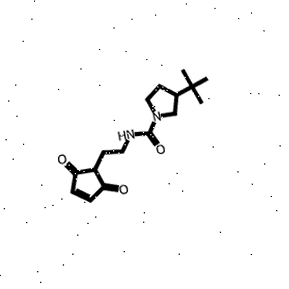 CC(C)(C)C1CCN(C(=O)NCCC2C(=O)C=CC2=O)C1